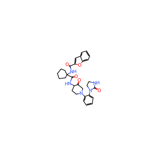 O=C(NC1(C(=O)NC2CCN(c3ccccc3N3CCNC3=O)CC2=O)CCCCC1)c1cc2ccccc2o1